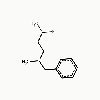 C[C@H](F)CCN(C)Cc1ccccc1